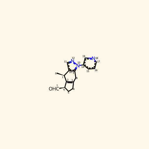 C[C@@H]1C2=C(CC[C@H]2C=O)Cc2c1cnn2-c1cccnc1